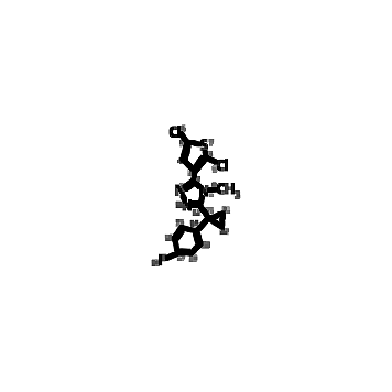 Cn1c(-c2cc(Cl)sc2Cl)nnc1C1(c2ccc(F)cc2)CC1